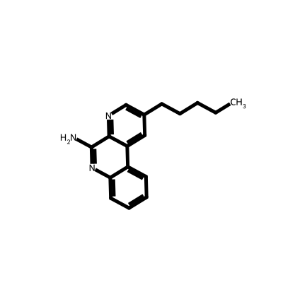 CCCCCc1cnc2c(N)nc3ccccc3c2c1